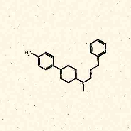 CN(CCCc1ccccc1)C1CCC(c2ccc(N)cc2)CC1